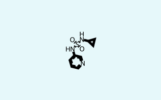 O=S(=O)(Nc1cccnc1)NC1CC1